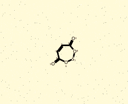 O=C1C=CC(=O)OSO1